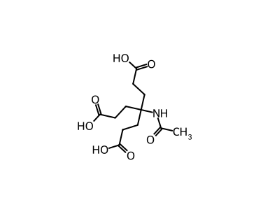 CC(=O)NC(CCC(=O)O)(CCC(=O)O)CCC(=O)O